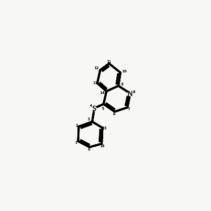 [c]1ccc(Sc2ccnc3ccccc23)cc1